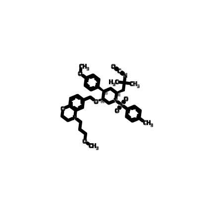 COCCCN1CCOc2ccc(CO[C@H]3CN(S(=O)(=O)c4ccc(C)cc4)[C@H](CC(C)(C)N=C=O)C[C@@H]3c3ccc(OC)cc3)cc21